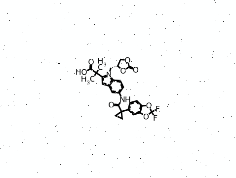 CC(C)(C(=O)O)c1cc2cc(NC(=O)C3(c4ccc5c(c4)OC(F)(F)O5)CC3)ccc2n1C[C@@H]1COC(=O)O1